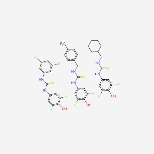 Oc1c(F)cc(NC(=S)NCC2CCCCC2)cc1F.Oc1c(F)cc(NC(=S)NCc2ccc(C(F)(F)F)cc2)cc1F.Oc1c(F)cc(NC(=S)Nc2cc(Cl)cc(Cl)c2)cc1F